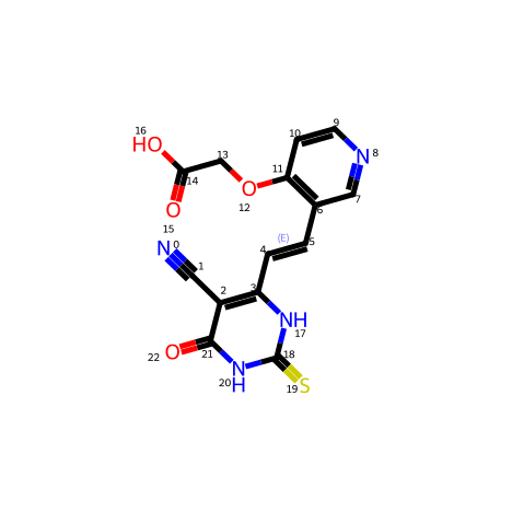 N#Cc1c(/C=C/c2cnccc2OCC(=O)O)[nH]c(=S)[nH]c1=O